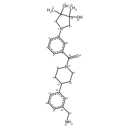 CC1(O)CN(c2cccc(C(=O)N3CCC(c4cccc(CN)c4)CC3)c2)CC1(C)O